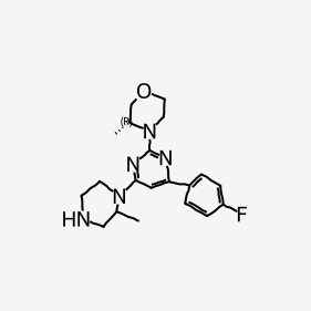 CC1CNCCN1c1cc(-c2ccc(F)cc2)nc(N2CCOC[C@H]2C)n1